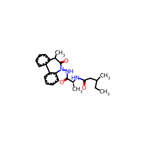 CCC(C)CC(=O)N[C@@H](C)C(=O)NN1C(=O)C(C)c2ccccc2-c2ccccc21